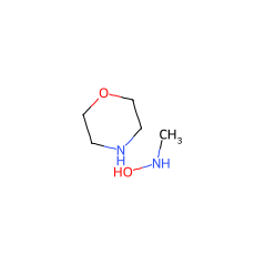 C1COCCN1.CNO